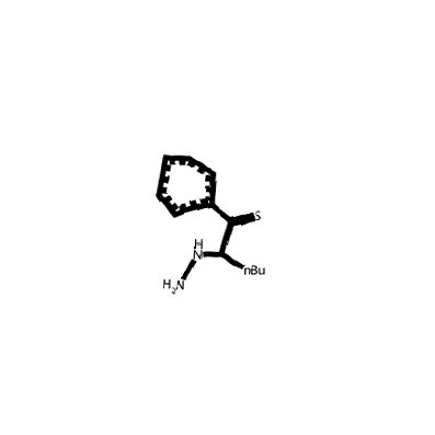 CCCCC(NN)C(=S)c1ccccc1